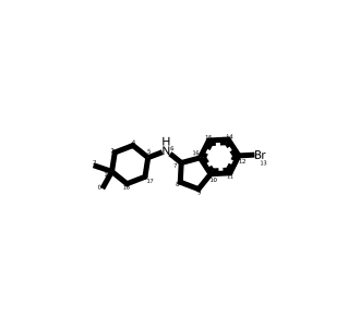 CC1(C)CCC(NC2CCc3cc(Br)ccc32)CC1